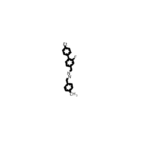 CCc1ccc(-c2ccc(C=NN=Cc3ccc(C)cc3)cc2F)cc1